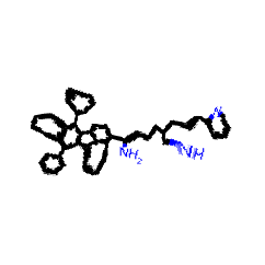 N=CC(=C\C=C\c1ccccn1)/C=C/C=C(\N)c1ccc2c3c(cccc13)-c1c-2c(-c2ccccc2)c2ccccc2c1-c1ccccc1